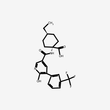 CC[C@H]1CC[C@@](NC(=O)c2cnc(O)c(-c3cccc(C(F)(F)F)c3)c2)(C(=O)O)CC1